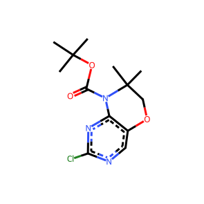 CC(C)(C)OC(=O)N1c2nc(Cl)ncc2OCC1(C)C